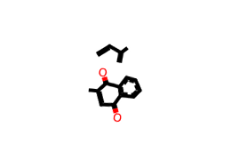 C=CC(=C)C.CC1=CC(=O)c2ccccc2C1=O